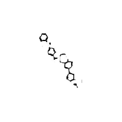 Cc1nc2ccc(-c3ccc4c(c3)CN(C(=O)c3ccc(S(=O)(=O)c5ccccc5)cc3)CCO4)cc2[nH]1